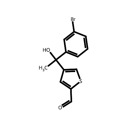 CC(O)(c1cccc(Br)c1)c1csc(C=O)c1